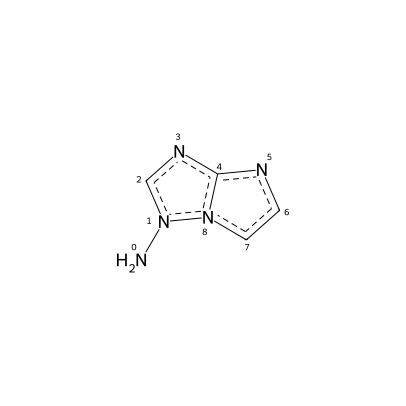 Nn1cnc2nccn21